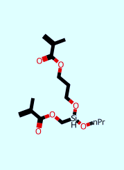 C=C(C)C(=O)OCCCO[SiH](COC(=O)C(=C)C)OCCC